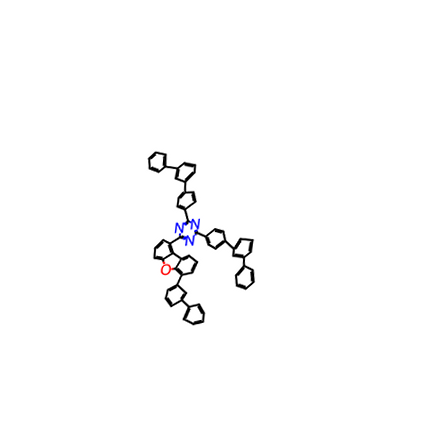 c1ccc(-c2cccc(-c3ccc(-c4nc(-c5ccc(-c6cccc(-c7ccccc7)c6)cc5)nc(-c5cccc6oc7c(-c8cccc(-c9ccccc9)c8)cccc7c56)n4)cc3)c2)cc1